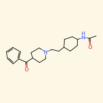 CC(=O)NC1CCC(CCN2CCC(C(=O)c3ccccc3)CC2)CC1